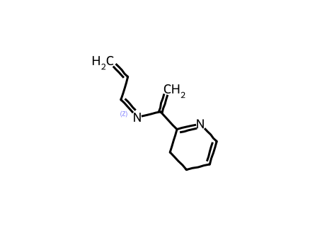 C=C/C=N\C(=C)C1=NC=CCC1